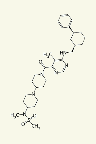 Cc1c(NC[C@@H]2CCC[C@H](c3ccccc3)C2)ncnc1C(=O)N1CCC(N2CCC(N(C)S(C)(=O)=O)CC2)CC1